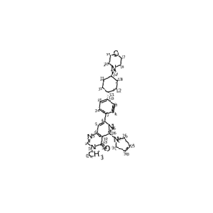 Cn1cnc2cc(-c3ccc([C@H]4CC[C@H](N5CCOCC5)CC4)cc3)nc(N3CCCC3)c2c1=O